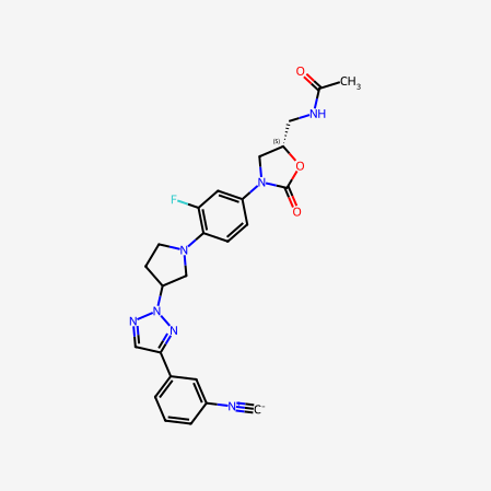 [C-]#[N+]c1cccc(-c2cnn(C3CCN(c4ccc(N5C[C@H](CNC(C)=O)OC5=O)cc4F)C3)n2)c1